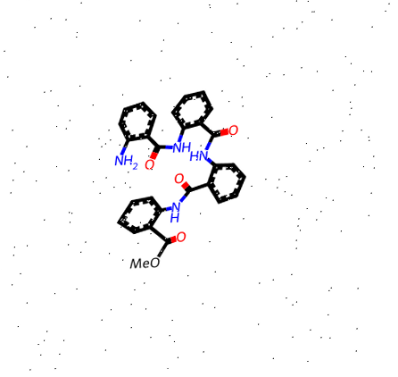 COC(=O)c1ccccc1NC(=O)c1ccccc1NC(=O)c1ccccc1NC(=O)c1ccccc1N